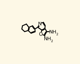 Nc1oc2c(-c3ccc4c(c3)CCCC4)nccc2c1N